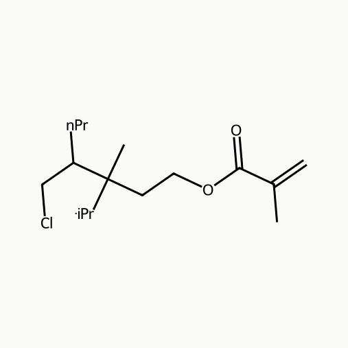 [CH2]CCC(CCl)C(C)(CCOC(=O)C(=C)C)[C](C)C